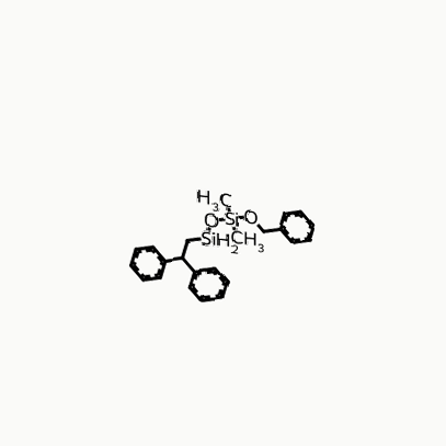 C[Si](C)(OCc1ccccc1)O[SiH2]CC(c1ccccc1)c1ccccc1